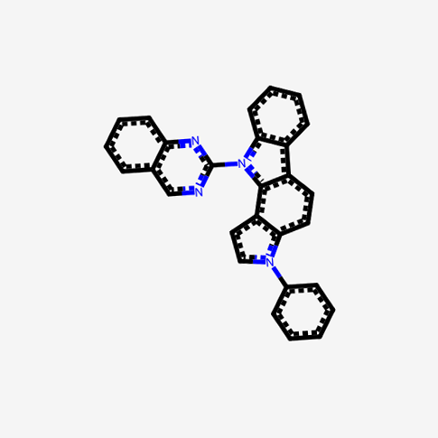 c1ccc(-n2ccc3c2ccc2c4ccccc4n(-c4ncc5ccccc5n4)c23)cc1